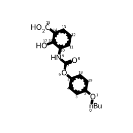 CCCCOc1ccc(OC(=O)Nc2cccc(C(=O)O)c2O)cc1